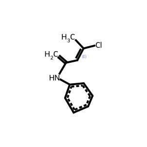 C=C(/C=C(\C)Cl)Nc1ccccc1